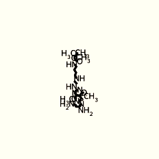 COc1nc(NCCNCCCCNC(=O)OC(C)(C)C)nc(OC)c1Sc1nc(N)cc(N)n1